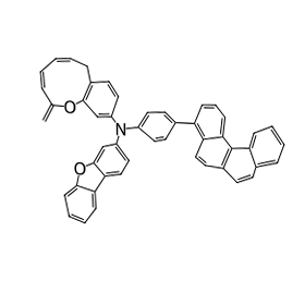 C=C1/C=C\C=C/Cc2ccc(N(c3ccc(-c4cccc5c4ccc4ccc6ccccc6c45)cc3)c3ccc4c(c3)oc3ccccc34)cc2O1